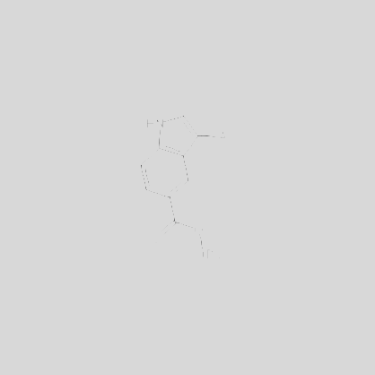 CC(=O)c1c[nH]c2ccc(C(=O)OC(C)(C)C)cc12